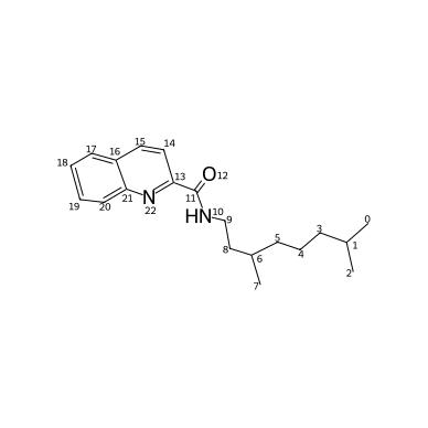 CC(C)CCCC(C)CCNC(=O)c1ccc2ccccc2n1